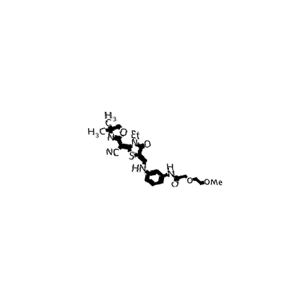 CCn1c(=C(C#N)C2=NC(C)(C)CO2)sc(=CNc2cccc(NC(=O)COCCOC)c2)c1=O